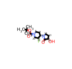 CC(C)(C)OC(=O)N1CC[C@H](N2CC[C@@H](O)C2=O)[C@H](F)C1